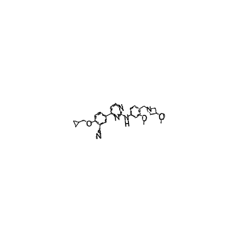 COc1cc(Nc2nccc(-c3ccc(OCC4CC4)c(C#N)c3)n2)ccc1CN1CC(OC)C1